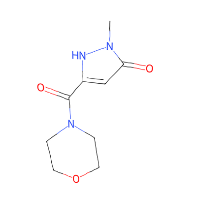 Cn1[nH]c(C(=O)N2CCOCC2)cc1=O